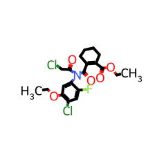 CCOC(=O)C1=C(C(=O)N(C(=O)CCl)c2cc(OCC)c(Cl)cc2F)CCCC1